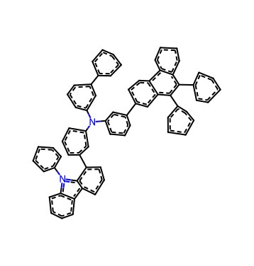 c1ccc(-c2cccc(N(c3cccc(-c4ccc5c(c4)c(-c4ccccc4)c(-c4ccccc4)c4ccccc45)c3)c3cccc(-c4cccc5c6ccccc6n(-c6ccccc6)c45)c3)c2)cc1